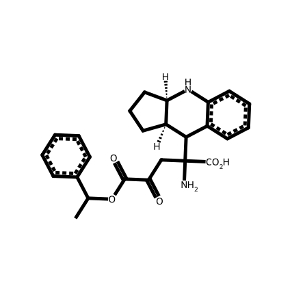 CC(OC(=O)C(=O)CC(N)(C(=O)O)C1c2ccccc2N[C@@H]2CCC[C@H]12)c1ccccc1